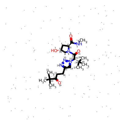 CNC(=O)[C@@H]1C[C@@H](O)CN1C(=O)[C@@H](n1cc(CCC(=O)C(C)(C)C)nn1)C(C)(C)C